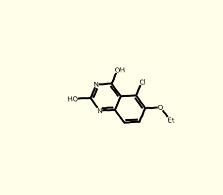 CCOc1ccc2nc(O)nc(O)c2c1Cl